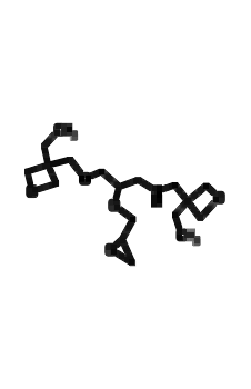 CCC1(CNCC(COCC2(CC)COC2)OCC2CO2)COC1